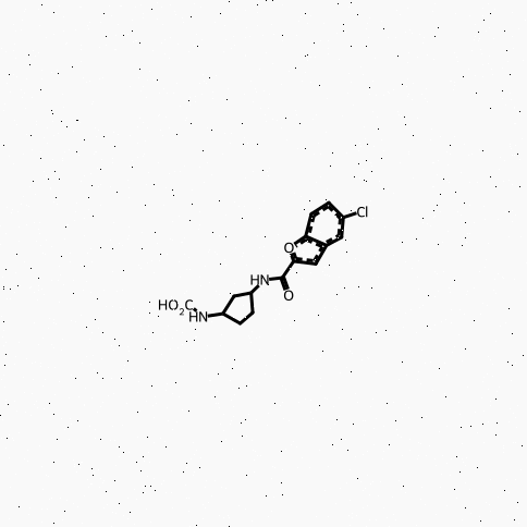 O=C(O)NC1CCC(NC(=O)c2cc3cc(Cl)ccc3o2)C1